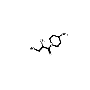 NC1CCN(C(=O)[C@H](O)CO)CC1